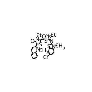 CCN1CO/C(=c2/s/c(=C3/C=Cc4ccccc4N3C)c(=O)n2CC)S/C1=N\c1sc2cc(Cl)ccc2[n+]1C